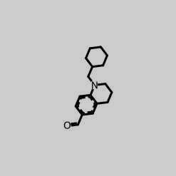 O=Cc1ccc2c(c1)CCCN2CC1CCCCC1